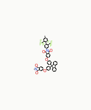 Cc1ccc(-c2ccc(N3C(=O)c4ccc(Oc5ccc(C6(c7ccc(Oc8ccc9c(c8)C(=O)N(C)C9=O)cc7)c7ccccc7-c7ccccc76)cc5)cc4C3=O)cc2C(F)(F)F)c(C(F)(F)F)c1